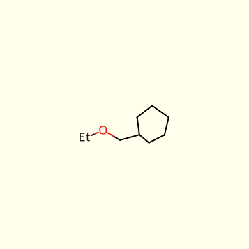 CCOCC1CCCCC1